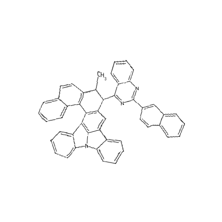 CC1c2ccc3ccccc3c2-c2c(cc3c4ccccc4n4c5ccccc5c2c34)C1c1nc(-c2ccc3ccccc3c2)nc2ccccc12